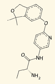 CC[C@@H](N)C(=O)Nc1ccc(Oc2ccc3c(c2)C(C)(C)OC3)nc1